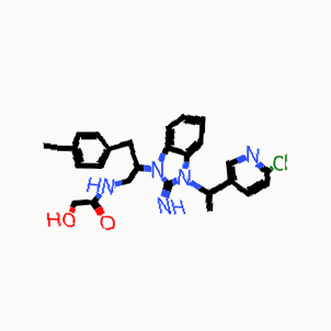 Cc1ccc(CC(CNC(=O)CO)n2c(=N)n(C(C)c3ccc(Cl)nc3)c3ccccc32)cc1